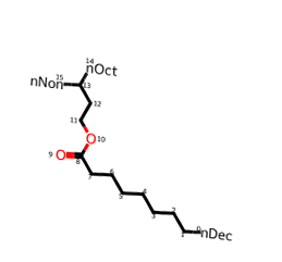 CCCCCCCCCCCCCCCCCC(=O)OCCC(CCCCCCCC)CCCCCCCCC